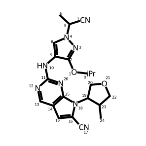 CC(C)Oc1nn(C(C)C#N)cc1Nc1ncc2cc(C#N)n(C3COCC3C)c2n1